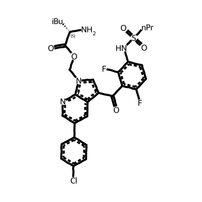 CCCS(=O)(=O)Nc1ccc(F)c(C(=O)c2cn(COC(=O)[C@@H](N)C(C)CC)c3ncc(-c4ccc(Cl)cc4)cc23)c1F